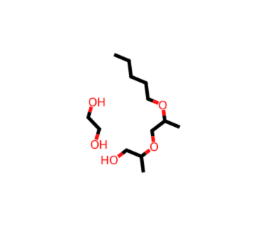 CCCCCOC(C)COC(C)CO.OCCO